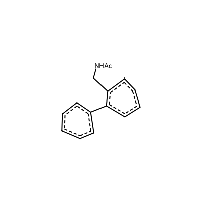 CC(=O)NCc1[c]cccc1-c1ccccc1